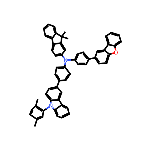 Cc1ccc(C)c(-n2c3ccccc3c3cc(-c4ccc(N(c5ccc(-c6ccc7oc8ccccc8c7c6)cc5)c5ccc6c(c5)C(C)(C)c5ccccc5-6)cc4)ccc32)c1